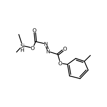 Cc1cccc(OC(=O)N=NC(=O)O[SiH](C)C)c1